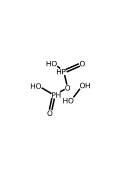 O=[PH](O)O[PH](=O)O.OO